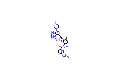 Cc1ccc(NC(=O)c2cccc(C(F)(F)F)n2)cc1C#Cc1nn(C2CCN(C)CC2)c2ncnc(N)c12